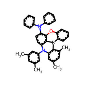 Cc1cc(C)cc(N2c3cc(C)cc(C)c3B3c4ccccc4Oc4c(N(c5ccccc5)c5ccccc5)ccc2c43)c1